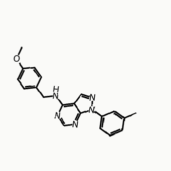 COc1ccc(CNc2ncnc3c2cnn3-c2cccc(C)c2)cc1